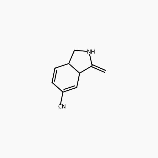 C=C1NCC2C=CC(C#N)=CC12